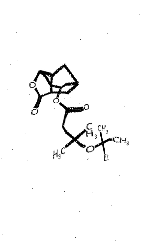 CCC(C)(C)OC(C)(C)CC(=O)OC1C2CC3C(=O)OC1C3C2